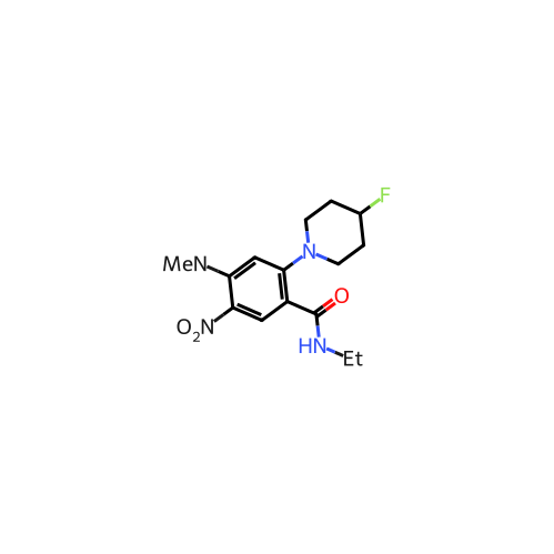 CCNC(=O)c1cc([N+](=O)[O-])c(NC)cc1N1CCC(F)CC1